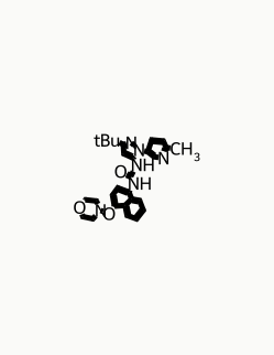 Cc1ccc(-n2nc(C(C)(C)C)cc2NC(=O)Nc2ccc(ON3CCOCC3)c3ccccc23)cn1